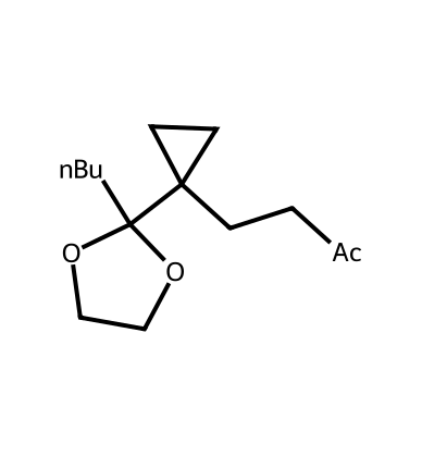 CCCCC1(C2(CCC(C)=O)CC2)OCCO1